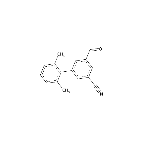 Cc1cccc(C)c1-c1cc(C#N)cc(C=O)c1